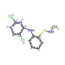 CNSc1ccccc1Nc1nc(Cl)ncc1Cl